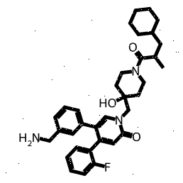 CC(CC1CCCCC1)C(=O)N1CCC(O)(Cn2cc(-c3cccc(CN)c3)c(-c3ccccc3F)cc2=O)CC1